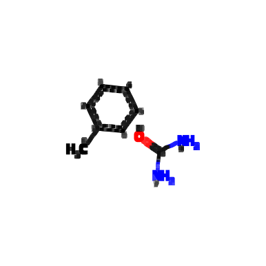 Cc1ccccc1.NC(N)=O